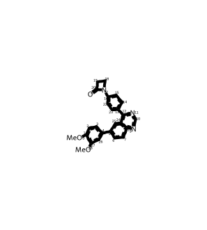 COc1ccc(-c2ccc3ncnc(-c4ccc(N5CCC5=O)cc4)c3c2)cc1OC